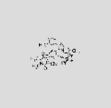 Cc1ccn2c(-c3ccc(NC(=O)C(C)N(C)C(=O)OC(C)(C)C)nc3C#C[Si](C(C)C)(C(C)C)C(C)C)c(-c3ccnc(C)c3)nc2c1